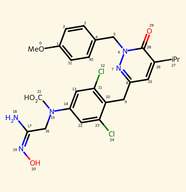 COc1ccc(Cn2nc(Cc3c(Cl)cc(N(C/C(N)=N\O)C(=O)O)cc3Cl)cc(C(C)C)c2=O)cc1